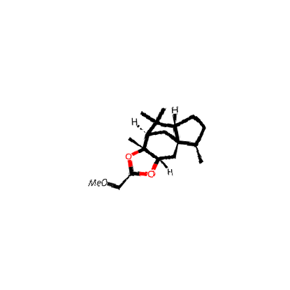 COC[C@@H]1O[C@H]2C[C@@]34C[C@H](C(C)(C)[C@@H]3CC[C@H]4C)[C@@]2(C)O1